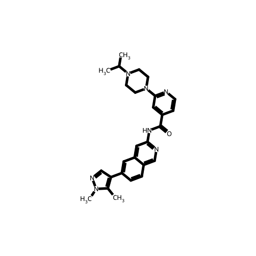 Cc1c(-c2ccc3cnc(NC(=O)c4ccnc(N5CCN(C(C)C)CC5)c4)cc3c2)cnn1C